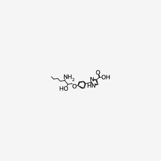 CCCCC(N)C(O)COc1ccc(-c2nc(C(=O)O)c[nH]2)cc1